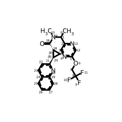 CC(c1cnc(OCC(F)(F)F)cn1)N(C)C(=O)[C@@H]1C[C@H]1c1ccc2ccccc2n1